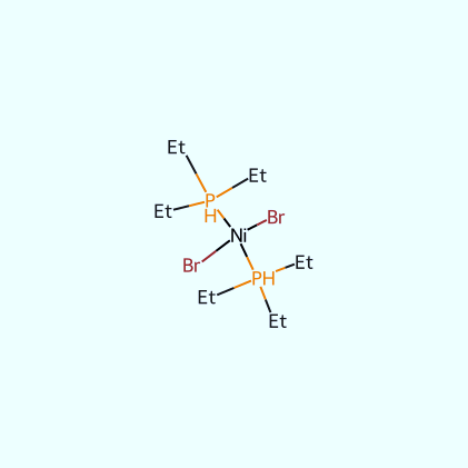 CC[PH](CC)(CC)[Ni]([Br])([Br])[PH](CC)(CC)CC